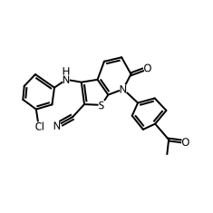 CC(=O)c1ccc(-n2c(=O)ccc3c(Nc4cccc(Cl)c4)c(C#N)sc32)cc1